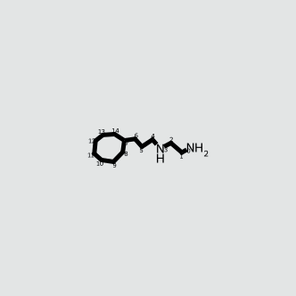 NCCNCCCC1CCCCCCC1